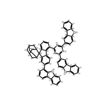 c1cc(-c2nc(-c3ccc4oc5ccccc5c4c3)nc(-c3ccc4oc5ccccc5c4c3)n2)c2c(c1)C1(c3cc(-c4cccc5c4oc4ccccc45)ccc3-2)C2CC3CC(C2)CC1C3